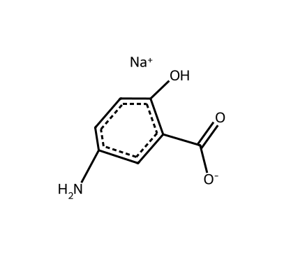 Nc1ccc(O)c(C(=O)[O-])c1.[Na+]